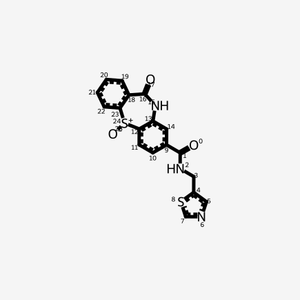 O=C(NCc1cncs1)c1ccc2c(c1)NC(=O)c1ccccc1[S+]2[O-]